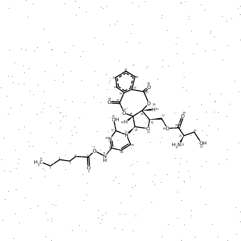 CCCCCC(=O)ONC1=NC(O)N([C@@H]2O[C@H](COC(=O)[C@H](N)CO)[C@H]3OC(=O)c4ccccc4C(=O)O[C@H]32)C=C1